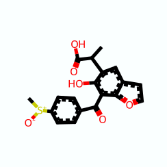 CC(C(=O)O)c1cc2ccoc2c(C(=O)c2ccc([S+](C)[O-])cc2)c1O